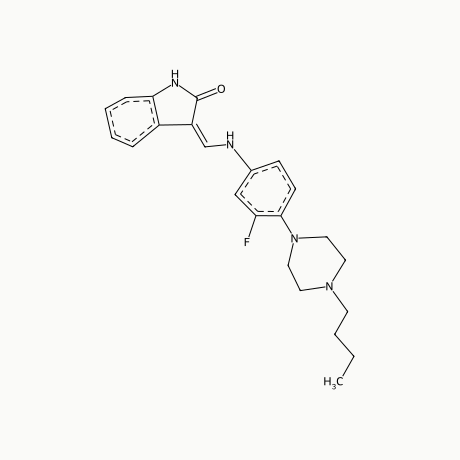 CCCCN1CCN(c2ccc(NC=C3C(=O)Nc4ccccc43)cc2F)CC1